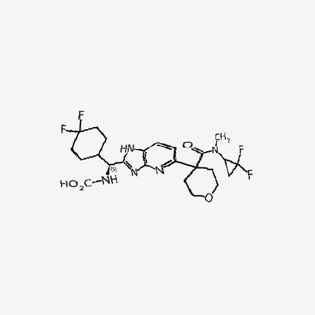 CN(C(=O)C1(c2ccc3[nH]c([C@@H](NC(=O)O)C4CCC(F)(F)CC4)nc3n2)CCOCC1)C1CC1(F)F